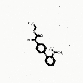 CCOC(=O)C(O)c1ccc(-c2ccccc2N(C)C)cc1